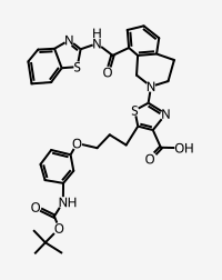 CC(C)(C)OC(=O)Nc1cccc(OCCCc2sc(N3CCc4cccc(C(=O)Nc5nc6ccccc6s5)c4C3)nc2C(=O)O)c1